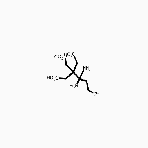 NC(N)(CCO)C(CC(=O)O)(CC(=O)O)CC(=O)O